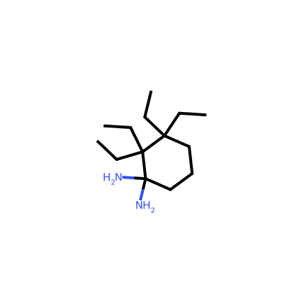 CCC1(CC)CCCC(N)(N)C1(CC)CC